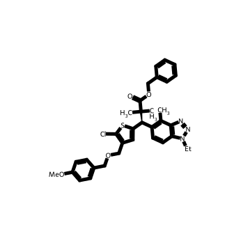 CCn1nnc2c(C)c([C@@H](c3cc(COCc4ccc(OC)cc4)c(Cl)s3)C(C)(C)C(=O)OCc3ccccc3)ccc21